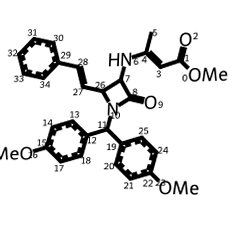 COC(=O)C=C(C)NC1C(=O)N(C(c2ccc(OC)cc2)c2ccc(OC)cc2)C1C=Cc1ccccc1